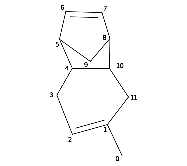 CC1=CCC2C3C=CC(C3)C2C1